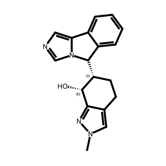 Cn1cc2c(n1)[C@H](O)[C@H](C1c3ccccc3-c3cncn31)CC2